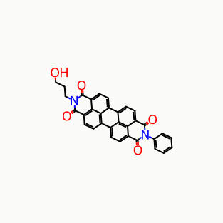 O=C1c2ccc3c4ccc5c6c(ccc(c7ccc(c2c37)C(=O)N1CCCO)c64)C(=O)N(c1ccccc1)C5=O